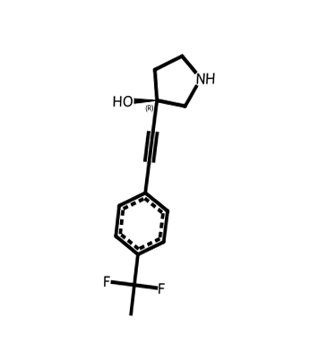 CC(F)(F)c1ccc(C#C[C@]2(O)CCNC2)cc1